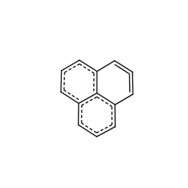 C1=Cc2cccc3cccc(c23)C=1